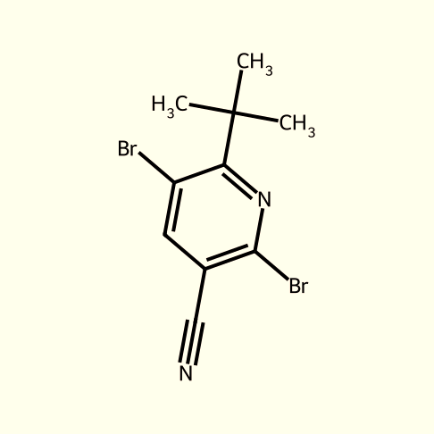 CC(C)(C)c1nc(Br)c(C#N)cc1Br